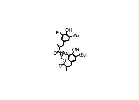 CC(Cc1cc(C(C)(C)C)c(O)c(C(C)(C)C)c1)C(=O)OCOC(=O)C(C)Cc1cc(C(C)(C)C)c(O)c(C(C)(C)C)c1